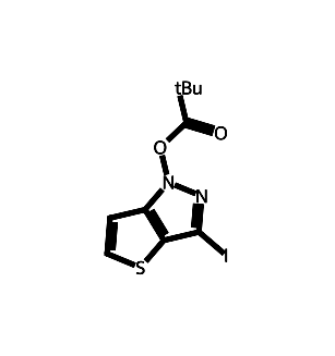 CC(C)(C)C(=O)On1nc(I)c2sccc21